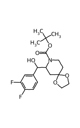 CC(C)(C)OC(=O)N1CCC2(CC1C(O)c1ccc(F)c(F)c1)OCCO2